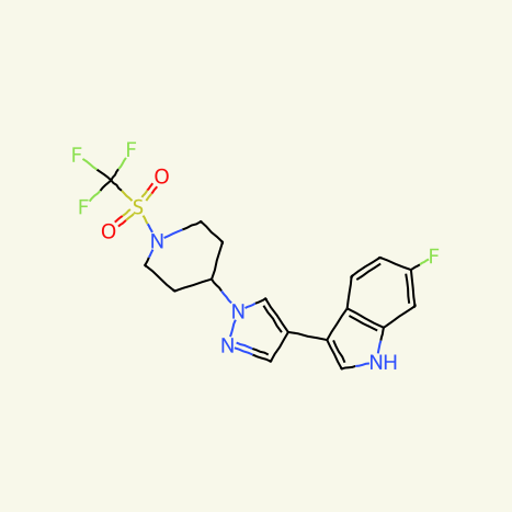 O=S(=O)(N1CCC(n2cc(-c3c[nH]c4cc(F)ccc34)cn2)CC1)C(F)(F)F